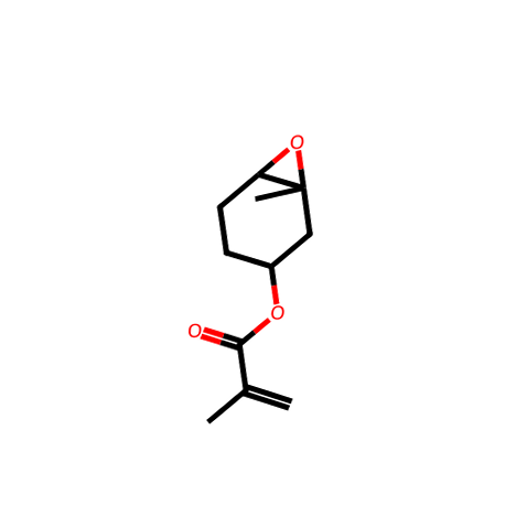 C=C(C)C(=O)OC1CCC2OC2(C)C1